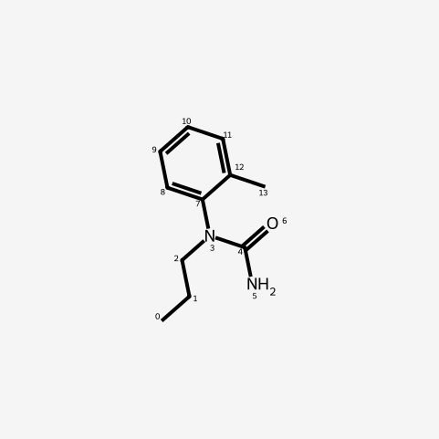 CCCN(C(N)=O)c1ccccc1C